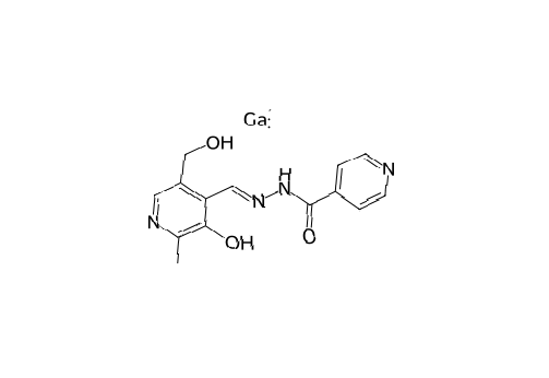 Cc1ncc(CO)c(C=NNC(=O)c2ccncc2)c1O.[Ga]